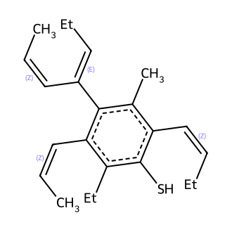 C/C=C\C(=C/CC)c1c(C)c(/C=C\CC)c(S)c(CC)c1/C=C\C